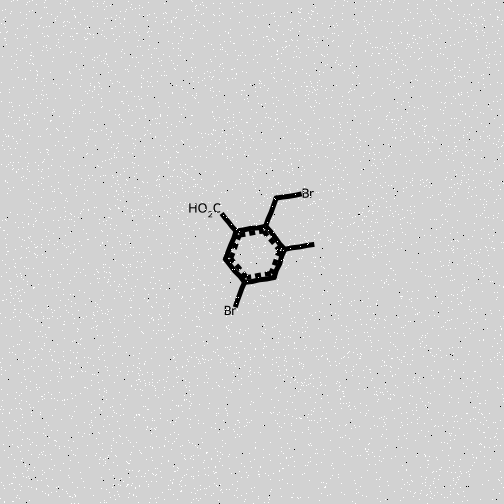 Cc1cc(Br)cc(C(=O)O)c1CBr